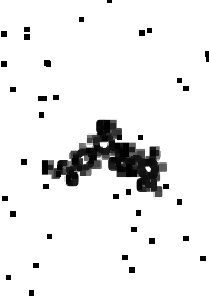 CC(=O)N1CCN([C@H]2C[C@H](NC(=O)c3cc4c(F)ccc(C)c4[nH]3)CN(C)C2)CC1